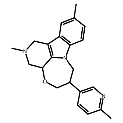 Cc1ccc2c(c1)c1c3n2CC(c2ccc(C)nc2)COC3CN(C)C1